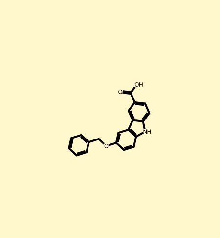 O=C(O)c1ccc2[nH]c3ccc(OCc4ccccc4)cc3c2c1